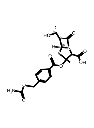 C[C@@H](O)[C@H]1C(=O)N2C(C(=O)O)C(C)(OC(=O)c3ccc(COC(N)=O)cc3)S[C@H]12